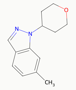 Cc1ccc2cnn(C3CCOCC3)c2c1